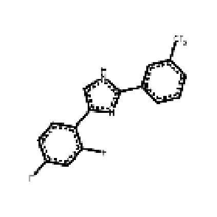 Fc1ccc(-c2c[nH]c(-c3cccc(C(F)(F)F)c3)n2)c(F)c1